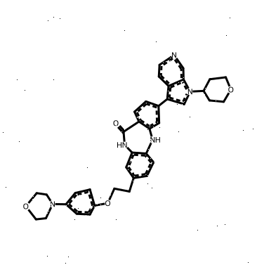 O=C1Nc2cc(CCOc3ccc(N4CCOCC4)cc3)ccc2Nc2cc(-c3cn(C4CCOCC4)c4cnccc34)ccc21